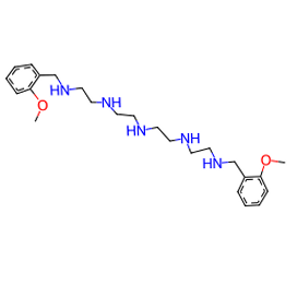 COc1ccccc1CNCCNCCNCCNCCNCc1ccccc1OC